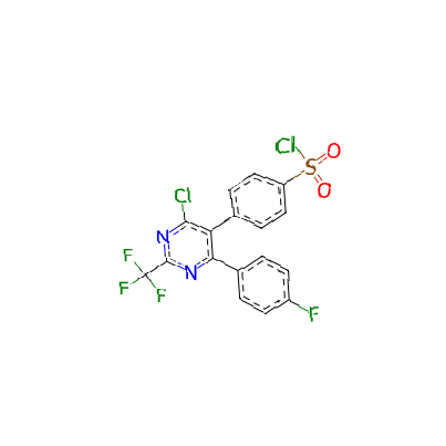 O=S(=O)(Cl)c1ccc(-c2c(Cl)nc(C(F)(F)F)nc2-c2ccc(F)cc2)cc1